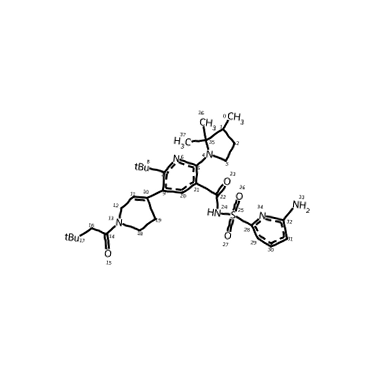 CC1CCN(c2nc(C(C)(C)C)c(C3=CCN(C(=O)CC(C)(C)C)CC3)cc2C(=O)NS(=O)(=O)c2cccc(N)n2)C1(C)C